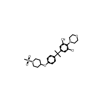 CC(C)(c1ccc(OC2CCN(S(C)(=O)=O)CC2)cc1)c1cc(Cl)c(N2CCOCC2)c(C#N)c1